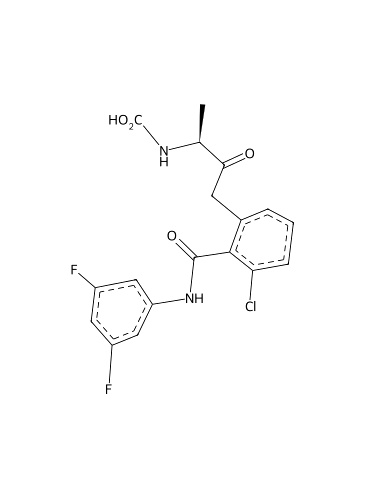 C[C@H](NC(=O)O)C(=O)Cc1cccc(Cl)c1C(=O)Nc1cc(F)cc(F)c1